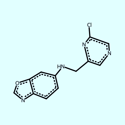 Clc1cncc(CNc2ccc3ncoc3c2)n1